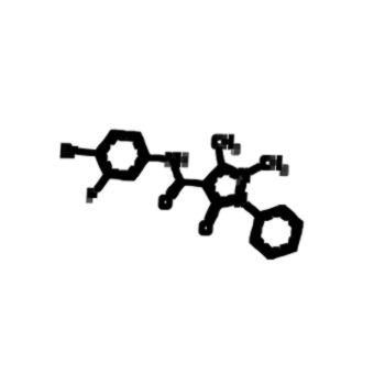 Cc1c(C(=O)Nc2ccc(Br)c(F)c2)c(=O)n(-c2ccccc2)n1C